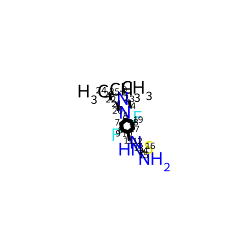 CCN1CCN(c2cc(F)c(C=NNC(N)=S)cc2F)C[C@@H]1CC(C)C